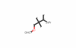 CCCC(C)C(C)(C)COC=O